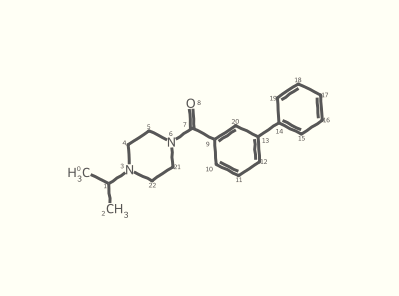 CC(C)N1CCN(C(=O)c2cccc(-c3ccccc3)c2)CC1